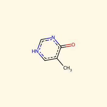 Cc1c[nH]cnc1=O